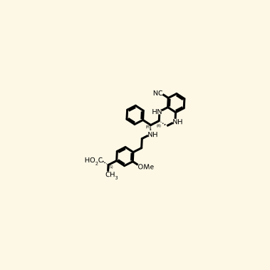 COc1cc([C@H](C)C(=O)O)ccc1CCN[C@H](c1ccccc1)[C@H]1CNc2cccc(C#N)c2N1